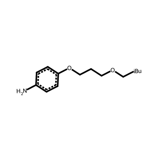 CCC(C)COCCCOc1ccc(N)cc1